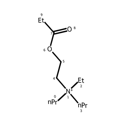 CCC[N+](CC)(CCC)CCOC(=O)CC